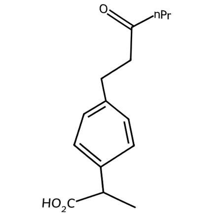 CCCC(=O)CCc1ccc(C(C)C(=O)O)cc1